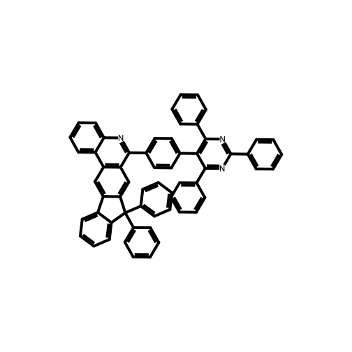 c1ccc(-c2nc(-c3ccccc3)c(-c3ccc(-c4nc5ccccc5c5cc6c(cc45)C(c4ccccc4)(c4ccccc4)c4ccccc4-6)cc3)c(-c3ccccc3)n2)cc1